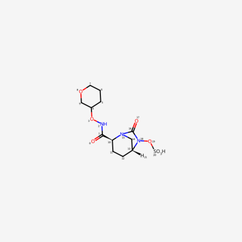 O=C(NOC1CCCOC1)[C@@H]1CC[C@@H]2CN1C(=O)N2OS(=O)(=O)O